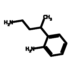 CC(CCN)c1ccccc1N